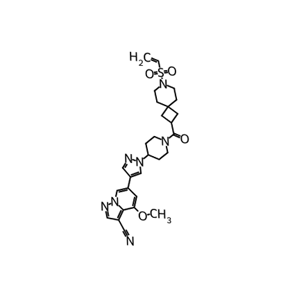 C=CS(=O)(=O)N1CCC2(CC1)CC(C(=O)N1CCC(n3cc(-c4cc(OC)c5c(C#N)cnn5c4)cn3)CC1)C2